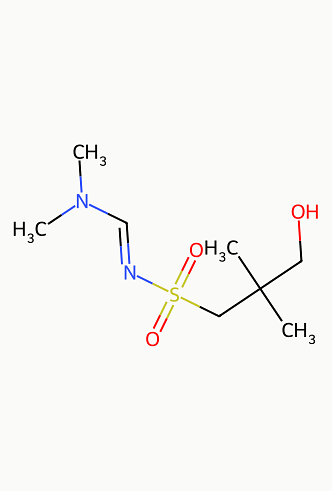 CN(C)C=NS(=O)(=O)CC(C)(C)CO